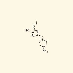 CCOc1cc(CN2CCC(N)CC2)ccc1O